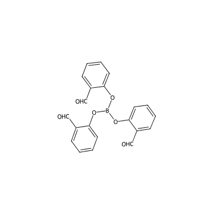 O=Cc1ccccc1OB(Oc1ccccc1C=O)Oc1ccccc1C=O